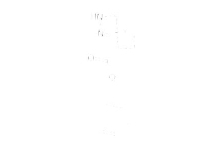 O=C(OCc1ccccc1)C1CCC12CN[N]2